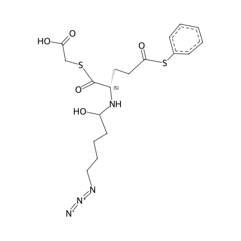 [N-]=[N+]=NCCCCC(O)N[C@@H](CCC(=O)Sc1ccccc1)C(=O)SCC(=O)O